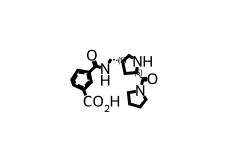 O=C(O)c1cccc(C(=O)NC[C@@H]2CN[C@H](C(=O)N3CCCC3)C2)c1